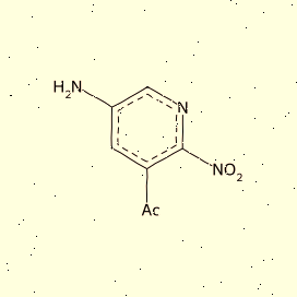 CC(=O)c1cc(N)cnc1[N+](=O)[O-]